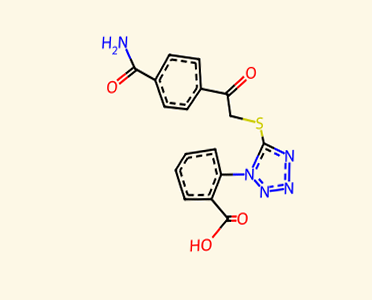 NC(=O)c1ccc(C(=O)CSc2nnnn2-c2ccccc2C(=O)O)cc1